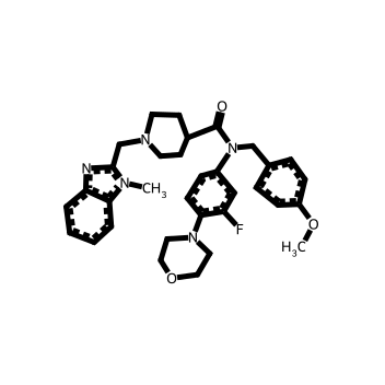 COc1ccc(CN(C(=O)C2CCN(Cc3nc4ccccc4n3C)CC2)c2ccc(N3CCOCC3)c(F)c2)cc1